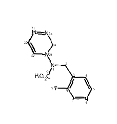 O=C(O)N(Cc1ccncc1F)N1C=CN=NC1